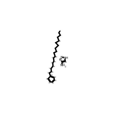 CCCCCCCCCCCCCCCCCCc1ccccc1.Nc1c[nH]nn1